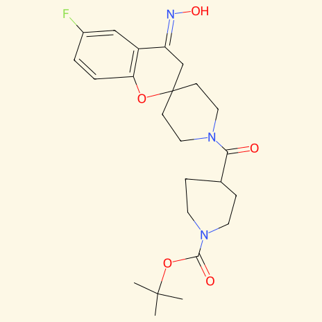 CC(C)(C)OC(=O)N1CCC(C(=O)N2CCC3(CC2)C/C(=N\O)c2cc(F)ccc2O3)CC1